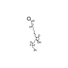 CC(C)CCC(F)(F)C(=O)CC[C@H]1[C@H](O)CC(=O)[C@@H]1CC=CCCCC(=O)OCC(=O)c1ccccc1